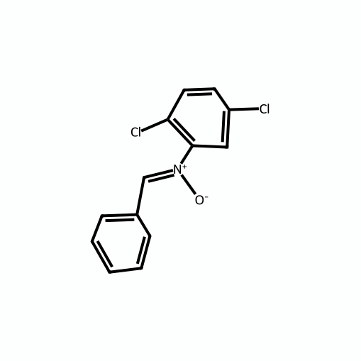 [O-][N+](=Cc1ccccc1)c1cc(Cl)ccc1Cl